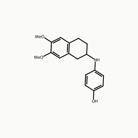 COc1cc2c(cc1OC)CC(Nc1ccc(O)cc1)CC2